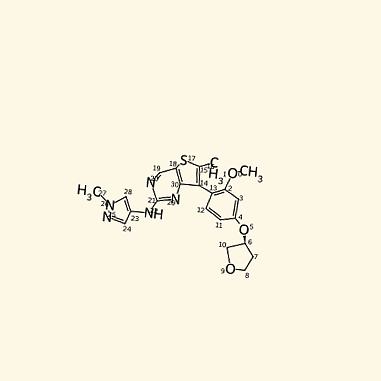 COc1cc(O[C@H]2CCOC2)ccc1-c1c(C)sc2cnc(Nc3cnn(C)c3)nc12